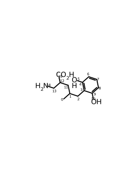 CC(Cc1c(O)cccc1O)CC(CN)C(=O)O